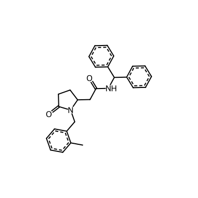 Cc1ccccc1CN1C(=O)CCC1CC(=O)NC(c1ccccc1)c1ccccc1